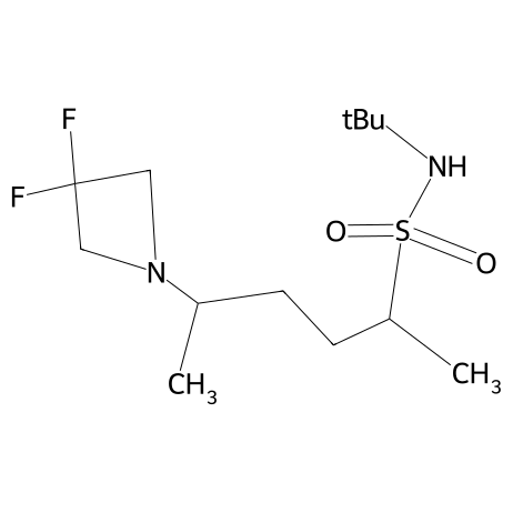 CC(CCC(C)S(=O)(=O)NC(C)(C)C)N1CC(F)(F)C1